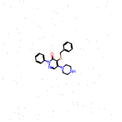 O=c1c(SCc2ccccc2)c(N2CCNCC2)cnn1-c1ccccc1